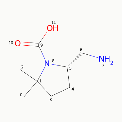 CC1(C)CC[C@@H](CN)N1C(=O)O